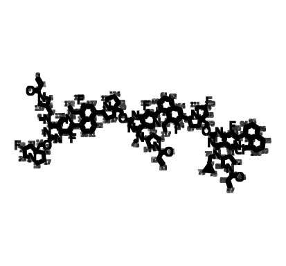 C=CC(=O)N1CC(CN(C)c2nc(OC[C@@]34CCCN3C[C@H](F)C4)nc3c(F)c(-c4cccc5c(C6CCC7(COc8nc(N(C)[C@@H]9CCN(C(=O)C=C)C9)c9cnc(-c%10cccc%11cc(C%12CC[C@@]%13(COc%14nc(N(CC%15CC%15)[C@@H]%15CCN(C(=O)C=C)C%15)c%15cnc(-c%16cccc%17cccc(Cl)c%16%17)c(F)c%15n%14)C[C@@H](F)CN%12%13)c(F)c(CC)c%10%11)c(F)c9n8)CCCN67)cc(F)c(CC)c45)ncc23)C1